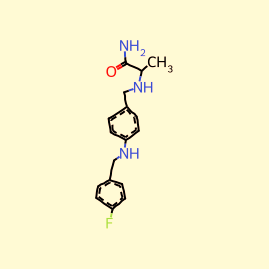 CC(NCc1ccc(NCc2ccc(F)cc2)cc1)C(N)=O